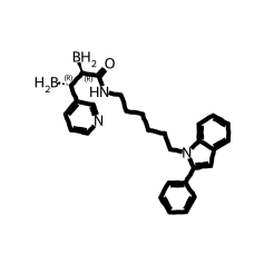 B[C@@H](C(=O)NCCCCCCn1c(-c2ccccc2)cc2ccccc21)[C@@H](B)c1cccnc1